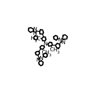 Cc1cc(N(c2ccc(-c3cccc(-c4nc5ccccc5n4-c4ccccc4)c3)c(C)c2)c2ccc(-c3cccc(-c4nc5ccccc5n4-c4ccccc4)c3)c(C)c2)ccc1-c1cccc(-c2nc3ccccc3n2-c2ccccc2)c1